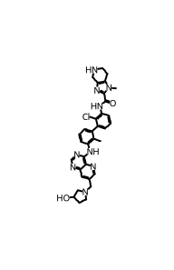 Cc1c(Nc2ncnc3cc(CN4CCC(O)C4)cnc23)cccc1-c1cccc(NC(=O)c2nc3c(n2C)CCNC3)c1Cl